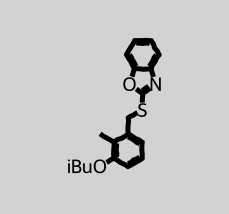 Cc1c(CSc2nc3ccccc3o2)cccc1OCC(C)C